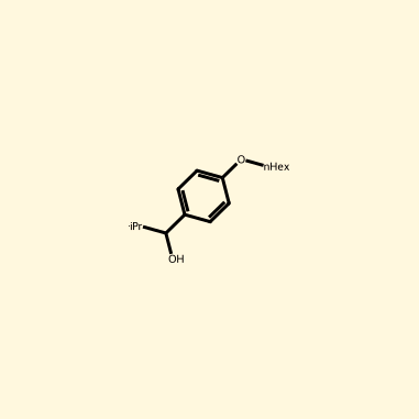 CCCCCCOc1ccc(C(O)[C](C)C)cc1